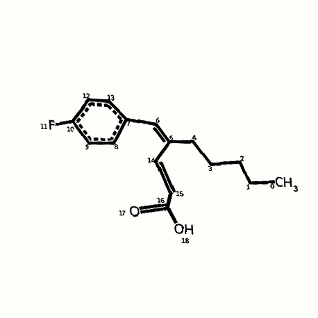 CCCCCC(=Cc1ccc(F)cc1)/C=C/C(=O)O